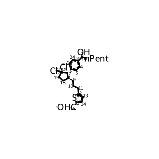 CCCCCC(O)c1ccc([C@@H]2[C@@H](CCCc3ccc([C]=O)s3)CCC2(Cl)Cl)cc1